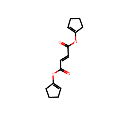 O=C(C=CC(=O)OC1=CCCC1)OC1=CCCC1